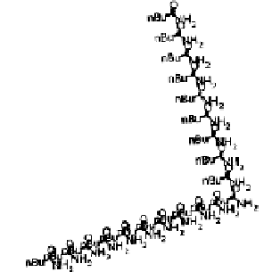 CCCCC(N)=O.CCCCC(N)=O.CCCCC(N)=O.CCCCC(N)=O.CCCCC(N)=O.CCCCC(N)=O.CCCCC(N)=O.CCCCC(N)=O.CCCCC(N)=O.CCCCC(N)=O.CCCCC(N)=O.CCCCC(N)=O.CCCCC(N)=O.CCCCC(N)=O.CCCCC(N)=O.CCCCC(N)=O.CCCCC(N)=O.CCCCC(N)=O.CCCCC(N)=O.CCCCC(N)=O